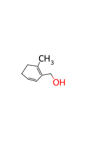 CC1=C(CO)C=CCC1